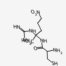 N=C(N)NC(CCC[N+](=O)[O-])(NC(=O)C(N)CS)C(=O)O